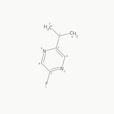 CC(C)c1cnc(F)cn1